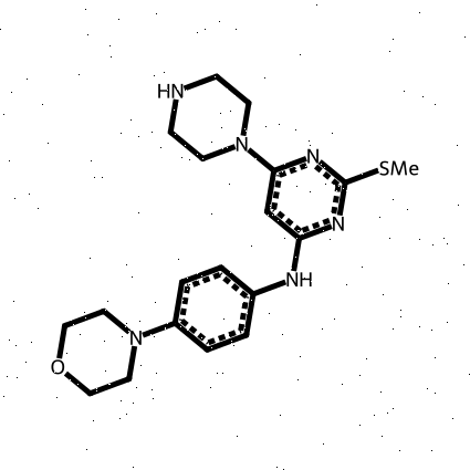 CSc1nc(Nc2ccc(N3CCOCC3)cc2)cc(N2CCNCC2)n1